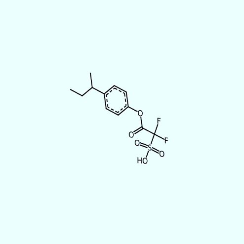 CCC(C)c1ccc(OC(=O)C(F)(F)S(=O)(=O)O)cc1